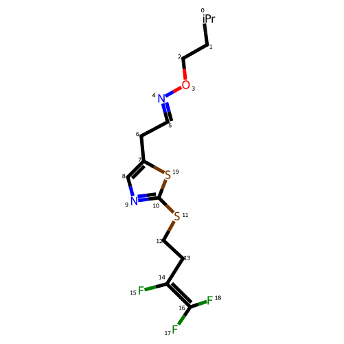 CC(C)CCO/N=C/Cc1cnc(SCCC(F)=C(F)F)s1